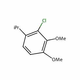 COc1ccc(C(C)C)c(Cl)c1OC